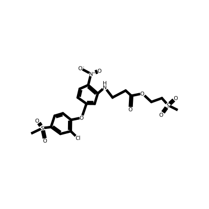 CS(=O)(=O)CCOC(=O)CCNc1cc(Oc2ccc(S(C)(=O)=O)cc2Cl)ccc1[N+](=O)[O-]